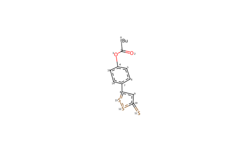 CC(C)(C)C(=O)Oc1ccc(-c2cc(=S)ss2)cc1